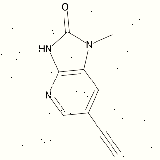 C#Cc1cnc2[nH]c(=O)n(C)c2c1